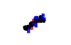 CCc1cc(CC(NC(=O)N2CCC(N3Cc4ccccc4NC3=O)CC2)c2nnn[nH]2)cc2c(C)n[nH]c12